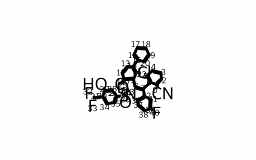 N#Cc1ccccc1-c1c(-c2c(C(=O)O)ccc(-c3ccccc3)c2Cl)n(S(=O)(=O)c2ccc(C(F)F)cc2)c2ccc(F)cc12